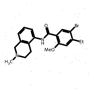 CCc1cc(OC)c(C(=O)Nc2cccc3c2CCN(C)C3)cc1Br